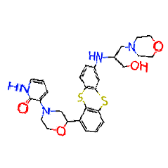 O=c1[nH]cccc1N1CCOC(c2cccc3c2Sc2ccc(NC(CO)CN4CCOCC4)cc2S3)C1